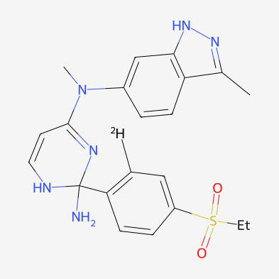 [2H]c1cc(S(=O)(=O)CC)ccc1C1(N)N=C(N(C)c2ccc3c(C)n[nH]c3c2)C=CN1